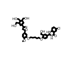 COc1ccc(C2CC(c3cc(CO)c(CO)c(CO)c3)=NO2)cc1OCCCCCOc1ccc(C2NC(=O)c3cc(Cl)ccc3N2)cc1CO